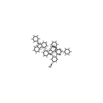 N#Cc1ccc(-c2nc(-c3ccccc3)nc(-c3ccccc3)n2)c(-n2c3ccccc3c3c(-c4cccc5c4c4ccccc4n5-c4ccccc4)cccc32)c1